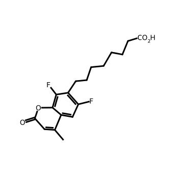 Cc1cc(=O)oc2c(F)c(CCCCCCCC(=O)O)c(F)cc12